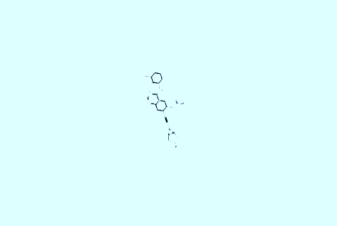 C=CC(=O)Nc1cc2c(Nc3cccc(Cl)c3F)ncnc2cc1C#CC1[C@H]2CN(C)C[C@@H]12